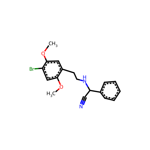 COc1cc(CCNC(C#N)c2ccccc2)c(OC)cc1Br